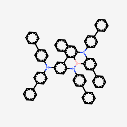 c1ccc(-c2ccc(N3B4c5cc(-c6ccccc6)ccc5N(c5ccc(-c6ccccc6)cc5)c5cc6ccccc6c(c54)-c4cc(N(c5ccc(-c6ccccc6)cc5)c5ccc(-c6ccccc6)cc5)ccc43)cc2)cc1